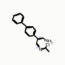 CC(Cl)/N=C\C(=C/N)c1ccc(-c2ccccc2)cc1